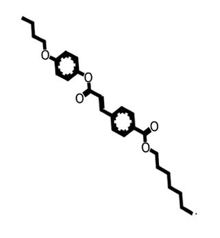 [CH2]CCCCCCOC(=O)c1ccc(/C=C/C(=O)Oc2ccc(OCCCC)cc2)cc1